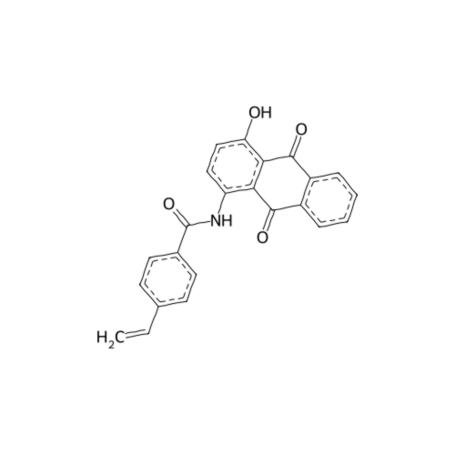 C=Cc1ccc(C(=O)Nc2ccc(O)c3c2C(=O)c2ccccc2C3=O)cc1